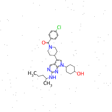 CCCC(C)Nc1ncc2c(C3CCN(C(=O)c4ccc(Cl)cc4)CC3)cn(C3CCC(O)CC3)c2n1